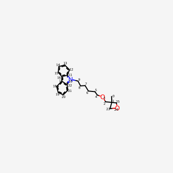 CC1(COCCCCCCn2c3ccccc3c3ccccc32)COC1